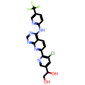 OCC(O)c1cnc(-c2ccc3c(Nc4ccc(C(F)(F)F)cn4)ncnc3n2)c(Cl)c1